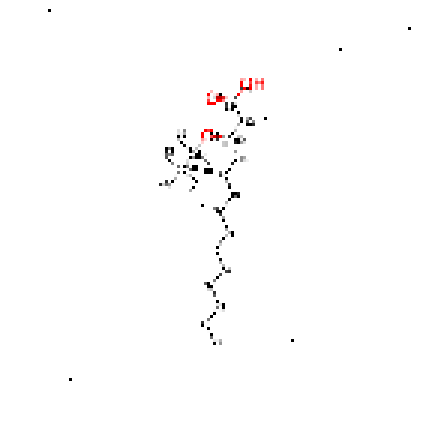 CCCCCCCCCCC[C@@H](CC(=O)O)O[Si](C)(C)C(C)(C)C